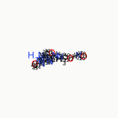 C[C@@](C(=O)N1CCN(c2ccc(OCCCN3CCOCC3)cc2)CC1)(c1ccccc1)n1ncc2c1nc(N)n1nc(-c3ccco3)nc21